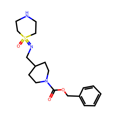 O=C(OCc1ccccc1)N1CCC(CN=S2(=O)CCNCC2)CC1